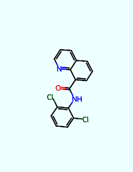 O=C(Nc1c(Cl)cccc1Cl)c1cccc2cccnc12